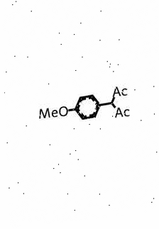 COc1ccc(C(C(C)=O)C(C)=O)cc1